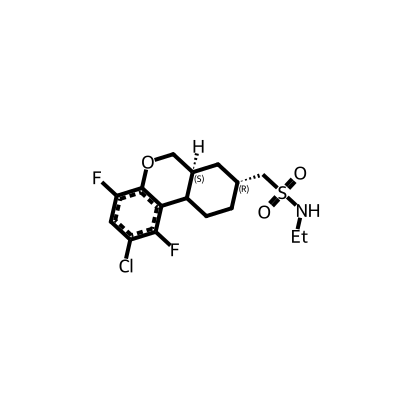 CCNS(=O)(=O)C[C@@H]1CCC2c3c(F)c(Cl)cc(F)c3OC[C@H]2C1